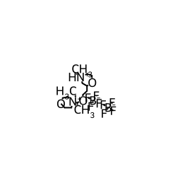 CC[NH+]1CCOC(CCOC(C)[N+]2(CC)CCOCC2)C1.F[B-](F)(F)F.F[B-](F)(F)F